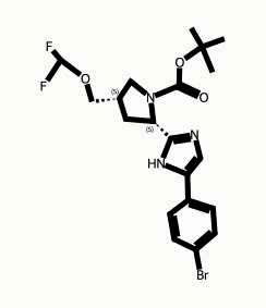 CC(C)(C)OC(=O)N1C[C@@H](COC(F)F)C[C@H]1c1ncc(-c2ccc(Br)cc2)[nH]1